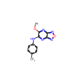 CC(C)Oc1nc2nonc2nc1Nc1ccc(C(F)(F)F)cc1